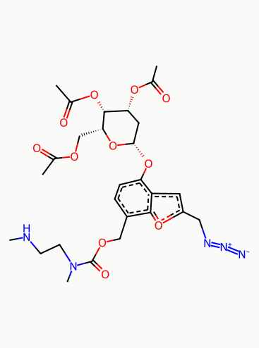 CNCCN(C)C(=O)OCc1ccc(O[C@H]2C[C@@H](OC(C)=O)[C@@H](OC(C)=O)[C@@H](COC(C)=O)O2)c2cc(CN=[N+]=[N-])oc12